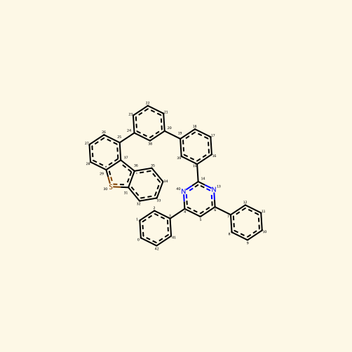 c1ccc(-c2cc(-c3ccccc3)nc(-c3cccc(-c4cccc(-c5cccc6sc7ccccc7c56)c4)c3)n2)cc1